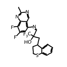 Cc1ncc2c(/N=C\C(O)(CC3CCSc4ccccc43)C(F)(F)F)cc(F)c(F)c2n1